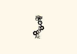 CC(=O)c1cccc(COc2cccc(C3CCN(C(=O)OC(C)(C)C)CC3)n2)c1F